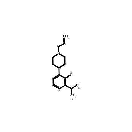 C=CCN1CCC(c2cccc(C(O)C(F)(F)F)c2Cl)CC1